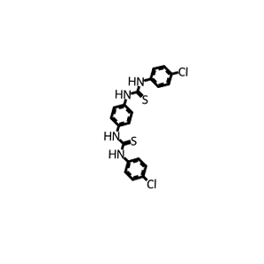 S=C(Nc1ccc(Cl)cc1)Nc1ccc(NC(=S)Nc2ccc(Cl)cc2)cc1